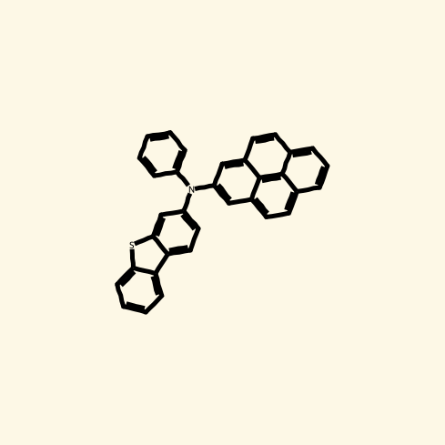 c1ccc(N(c2cc3ccc4cccc5ccc(c2)c3c45)c2ccc3c(c2)sc2ccccc23)cc1